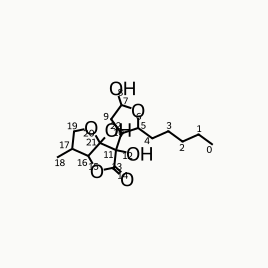 CCCCCC1OC(O)CC1C1(O)C(=O)OC2C(C)COC21O